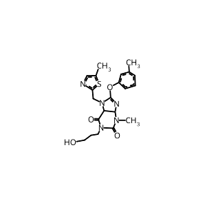 Cc1cccc(OC2=NC3C(C(=O)N(CCCO)C(=O)N3C)N2Cc2ncc(C)s2)c1